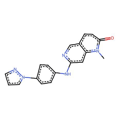 Cn1c(=O)ccc2cnc(Nc3ccc(-n4cccn4)cc3)cc21